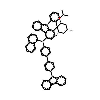 CC(C)C[C@H]1C[C@H](C)C[C@H](C)C12c1ccccc1-n1c3ccccc3c3c(N(c4ccc(-c5ccc(-n6c7ccccc7c7ccccc76)cc5)cc4)c4cccc5ccccc45)ccc2c31